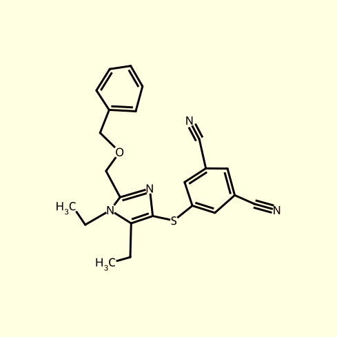 CCc1c(Sc2cc(C#N)cc(C#N)c2)nc(COCc2ccccc2)n1CC